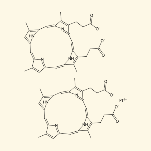 CC1=Cc2cc3[nH]c(cc4nc(cc5[nH]c(cc1n2)cc5C)C(C)=C4CCC(=O)[O-])c(CCC(=O)[O-])c3C.CC1=Cc2cc3[nH]c(cc4nc(cc5[nH]c(cc1n2)cc5C)C(C)=C4CCC(=O)[O-])c(CCC(=O)[O-])c3C.[Pt+4]